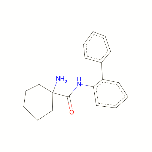 NC1(C(=O)Nc2ccccc2-c2ccccc2)CCCCC1